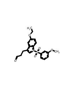 CCOc1ccc2c(c1)c(CCC=O)cn2S(=O)(=O)c1cccc(OC)c1